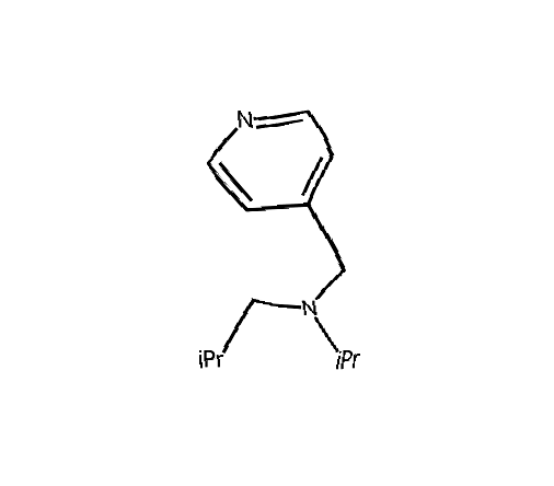 CC(C)CN(Cc1ccncc1)C(C)C